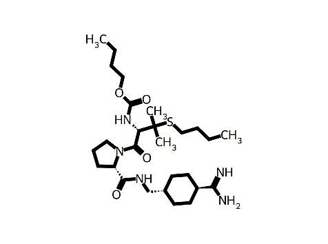 CCCCOC(=O)N[C@@H](C(=O)N1CCC[C@H]1C(=O)NC[C@H]1CC[C@H](C(=N)N)CC1)C(C)(C)SCCCC